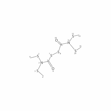 CSN(SC)C(=O)SSC(=O)N(SC)SC